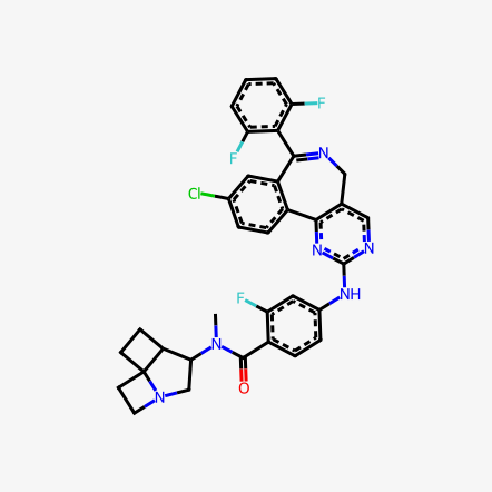 CN(C(=O)c1ccc(Nc2ncc3c(n2)-c2ccc(Cl)cc2C(c2c(F)cccc2F)=NC3)cc1F)C1CN2CCC23CCC13